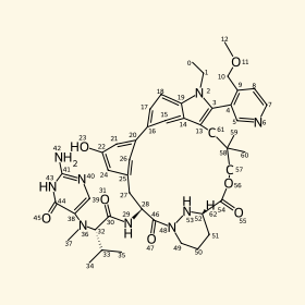 CCn1c(-c2cnccc2COC)c2c3cc(ccc31)-c1cc(O)cc(c1)C[C@H](NC(=O)[C@H](C(C)C)N(C)c1cnc(N)[nH]c1=O)C(=O)N1CCC[C@H](N1)C(=O)OCC(C)(C)C2